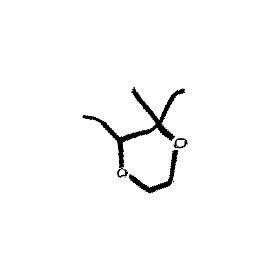 CC1O[CH]OC1(C)C